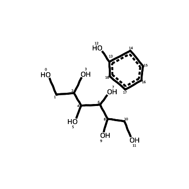 OCC(O)C(O)C(O)C(O)CO.Oc1ccccc1